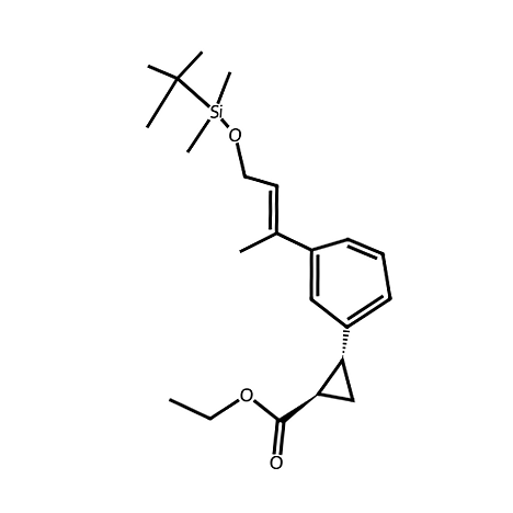 CCOC(=O)[C@@H]1C[C@H]1c1cccc(/C(C)=C/CO[Si](C)(C)C(C)(C)C)c1